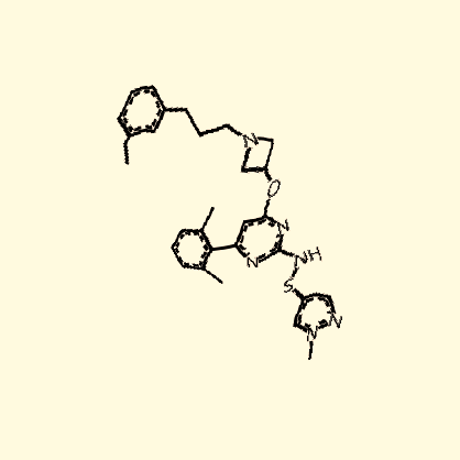 Cc1cccc(CCCN2CC(Oc3cc(-c4c(C)cccc4C)nc(NSc4cnn(C)c4)n3)C2)c1